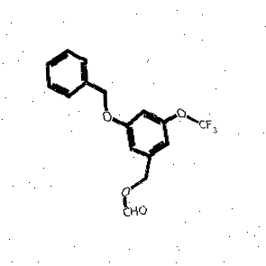 O=COCc1cc(OCc2ccccc2)cc(OC(F)(F)F)c1